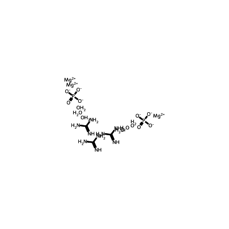 N=C(N)N.N=C(N)N.N=C(N)N.O.O.O.O.O.O.O=P([O-])([O-])[O-].O=P([O-])([O-])[O-].[Mg+2].[Mg+2].[Mg+2]